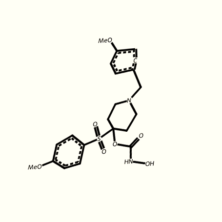 COc1ccc(CN2CCC(OC(=O)NO)(S(=O)(=O)c3ccc(OC)cc3)CC2)cc1